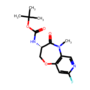 CN1C(=O)[C@@H](NC(=O)OC(C)(C)C)COc2cc(F)ncc21